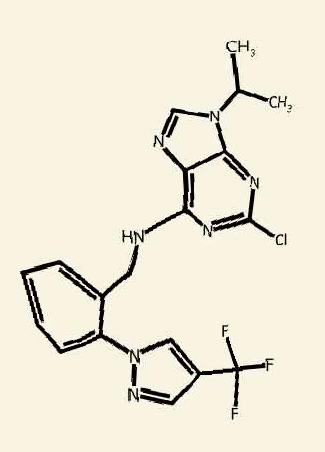 CC(C)n1cnc2c(NCc3ccccc3-n3cc(C(F)(F)F)cn3)nc(Cl)nc21